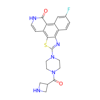 O=C(C1CNC1)N1CCN(c2nc3c4ccc(F)cc4c4c(=O)[nH]ccc4c3s2)CC1